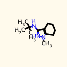 CN1NC(NC(C)(C)C)C2=C1CCCC2